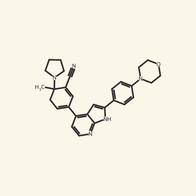 CC1(N2CCCC2)CC=C(c2ccnc3[nH]c(-c4ccc(N5CCOCC5)cc4)cc23)C=C1C#N